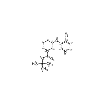 CC(C)(C)OC(=O)N1CCCC(Oc2cnccc2Cl)C1